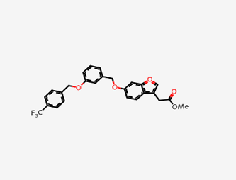 COC(=O)Cc1coc2cc(OCc3cccc(OCc4ccc(C(F)(F)F)cc4)c3)ccc12